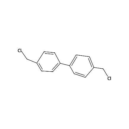 ClCc1ccc(-c2ccc(CCl)cc2)cc1